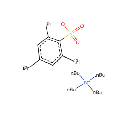 CC(C)c1cc(C(C)C)c(S(=O)(=O)[O-])c(C(C)C)c1.CCCC[N+](CCCC)(CCCC)CCCC